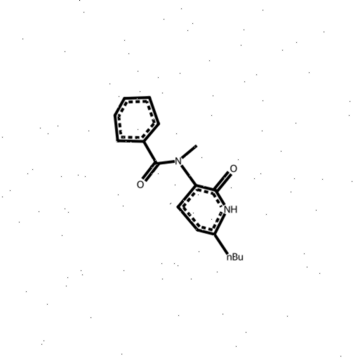 CCCCc1ccc(N(C)C(=O)c2ccccc2)c(=O)[nH]1